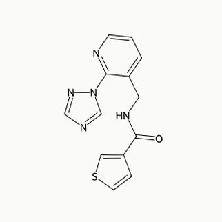 O=C(NCc1cccnc1-n1cncn1)c1ccsc1